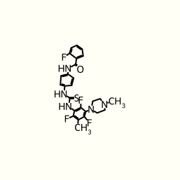 Cc1c(F)c(NC(=S)Nc2ccc(NC(=O)c3ccccc3F)cc2)c(F)c(N2CCN(C)CC2)c1F